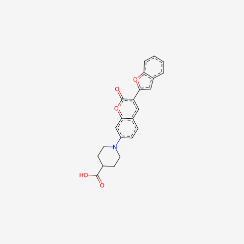 O=C(O)C1CCN(c2ccc3cc(-c4cc5ccccc5o4)c(=O)oc3c2)CC1